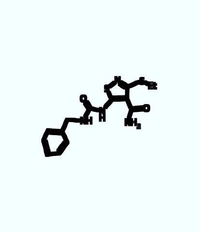 CCSc1nsc(NC(=O)NCc2ccccc2)c1C(N)=O